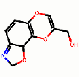 OCC1=COC2=C(O1)C1OCN=C1C=C2